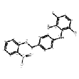 Cc1ccc(Cl)c(Nc2ccc(COc3ccccc3[N+](=O)[O-])cc2)c1Cl